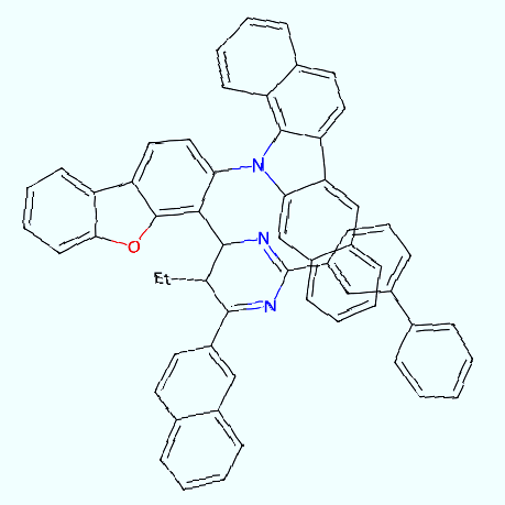 CCC1C(c2ccc3ccccc3c2)=NC(c2cccc(-c3ccccc3)c2)=NC1c1c(-n2c3cc4ccccc4cc3c3ccc4ccccc4c32)ccc2c1oc1ccccc12